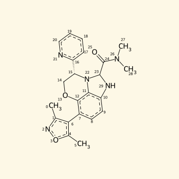 Cc1noc(C)c1-c1ccc2c3c1OC[C@H](c1ccccn1)N3C(C(=O)N(C)C)N2